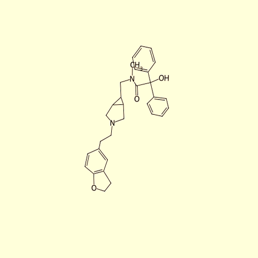 CN(CC1C2CN(CCc3ccc4c(c3)CCO4)CC21)C(=O)C(O)(c1ccccc1)c1ccccc1